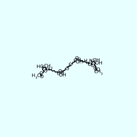 CC(=O)OCC1CC(O)[C@H](C)[C@H](OCCCCCCOP(=O)(O)OCCCOCCOCCCOP(=O)(O)OCCCCCCO[C@@H]2OC(COC(C)=O)[C@H](O)[C@H](O)C2N)O1